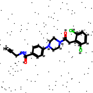 C#CCNC(=O)c1ccc(N2CCN(C(=O)Cc3c(Cl)cccc3Cl)CC2)cc1